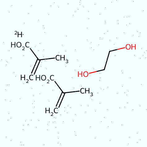 C=C(C)C(=O)O.C=C(C)C(=O)O.OCCO.[2H]